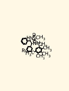 CS(=O)(=O)N[C@H](c1ccccc1)[C@H](N)c1ccccc1.Cc1cc(C)c(C)c(C)c1C.[Ru]